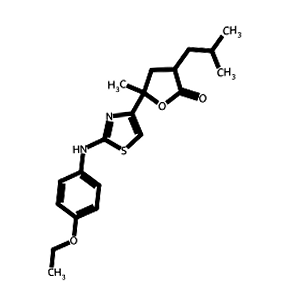 CCOc1ccc(Nc2nc(C3(C)CC(CC(C)C)C(=O)O3)cs2)cc1